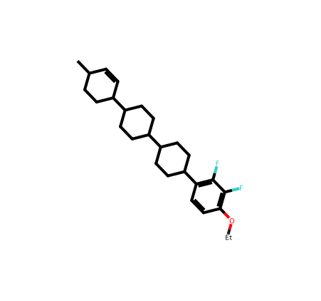 CCOc1ccc(C2CCC(C3CCC(C4C=CC(C)CC4)CC3)CC2)c(F)c1F